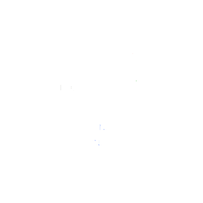 Cc1cc(C=O)c(Cl)cc1Cn1cccn1